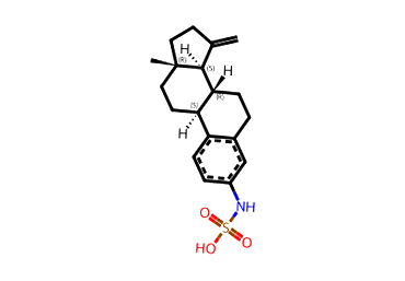 C=C1CC[C@@]2(C)CC[C@@H]3c4ccc(NS(=O)(=O)O)cc4CC[C@H]3[C@H]12